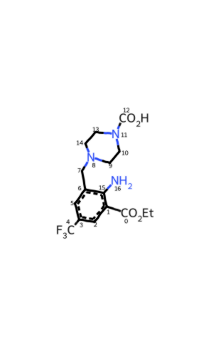 CCOC(=O)c1cc(C(F)(F)F)cc(CN2CCN(C(=O)O)CC2)c1N